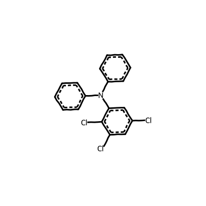 Clc1cc(Cl)c(Cl)c(N(c2ccccc2)c2ccccc2)c1